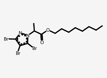 CCCCCCCCOC(=O)C(C)n1nc(Br)c(Br)c1Br